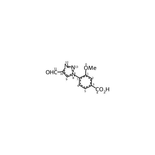 COc1cc(C(=O)O)ccc1-n1cc(C=O)nn1